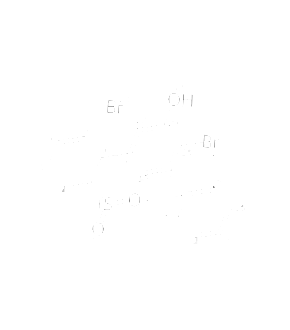 O=S(=O)=C1C=CC=CC1c1cc(-c2ccccc2)c(Br)c(O)c1Br